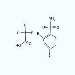 NS(=O)(=O)c1ccc(F)cc1F.O=C(O)C(F)(F)F